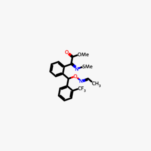 CC=NOC(c1ccccc1C(=NSC)C(=O)OC)c1ccccc1C(F)(F)F